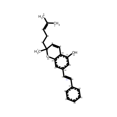 CC(C)=CCCC1(C)C=Cc2c(O)cc(/C=C/c3ccccc3)cc2O1